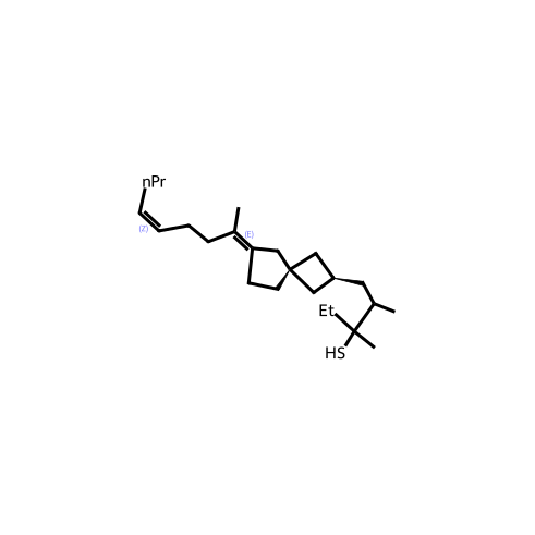 CCC/C=C\CC/C(C)=C1\CC[C@]2(C1)C[C@H](CC(C)C(C)(S)CC)C2